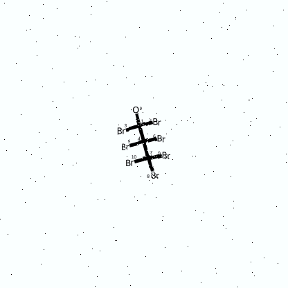 [O]C(Br)(Br)C(Br)(Br)C(Br)(Br)Br